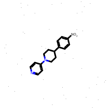 O=[N+]([O-])c1ccc(C2CCN(c3ccncc3)CC2)cc1